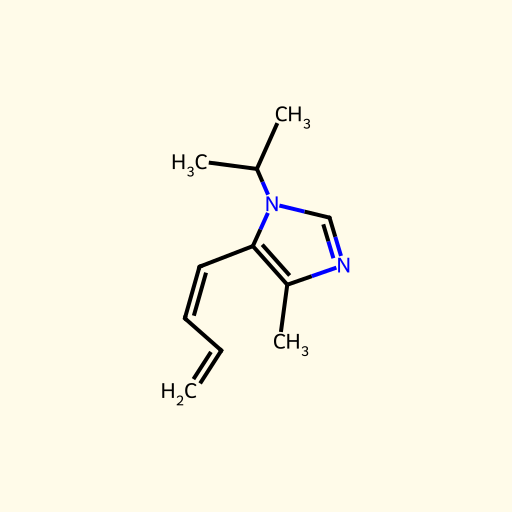 C=C/C=C\c1c(C)ncn1C(C)C